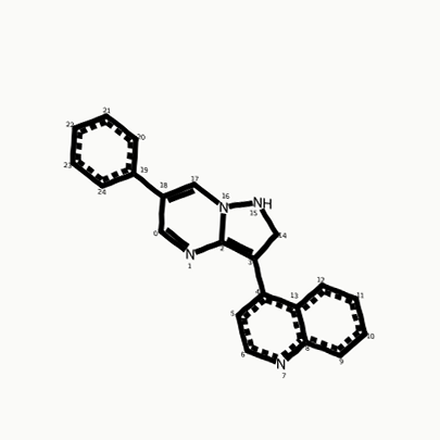 C1=NC2=C(c3ccnc4ccccc34)CNN2C=C1c1ccccc1